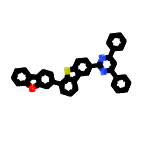 c1ccc(-c2cc(-c3ccccc3)nc(-c3ccc4sc5c(-c6ccc7c(c6)oc6ccccc67)cccc5c4c3)n2)cc1